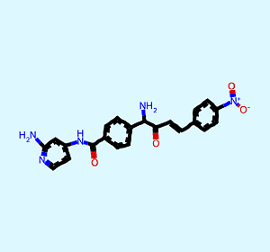 Nc1cc(NC(=O)c2ccc(C(N)C(=O)C=Cc3ccc([N+](=O)[O-])cc3)cc2)ccn1